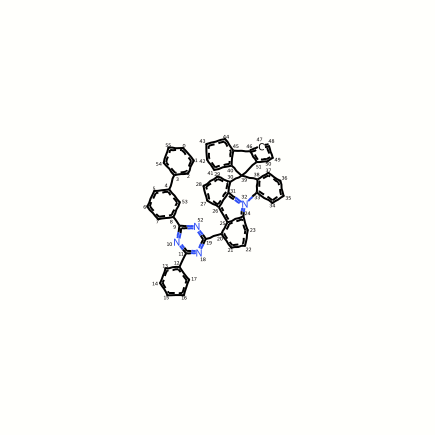 c1ccc(-c2cccc(-c3nc(-c4ccccc4)nc(-c4cccc5c4c4cccc6c4n5-c4ccccc4C64c5ccccc5-c5ccccc54)n3)c2)cc1